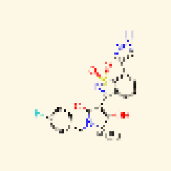 CC(C)(C)[C@H]1C(O)=C(C2=NS(=O)(=O)c3c2cccc3-c2cn[nH]c2)C(=O)N1Cc1ccc(F)cc1